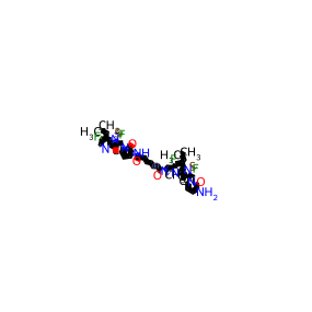 Cc1c(Cn2cccc(NC(=O)CCC/C=C/C(=O)N(C)Cc3nc4c(C)c(Cn5cccc(N)c5=O)n(SF)c4c(CC(C)C)c3F)c2=O)n(SF)c2c(CC(C)C)c(F)cnc12